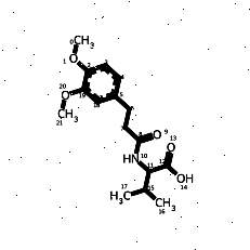 COc1ccc(CCC(=O)NC(C(=O)O)C(C)C)cc1OC